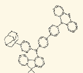 CC1(C)c2ccccc2-c2c(N(c3ccc(-c4ccc(N5c6ccccc6Sc6ccccc65)cc4)cc3)c3ccc(C45CC6CC(CC(C6)C4)C5)cc3)cccc21